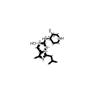 Cc1nc(CC(C)C)n2nc(N[C@@H]3CCNC[C@H]3F)ncc12.Cl